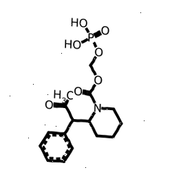 CC(=O)C(c1ccccc1)C1CCCCN1C(=O)OCOP(=O)(O)O